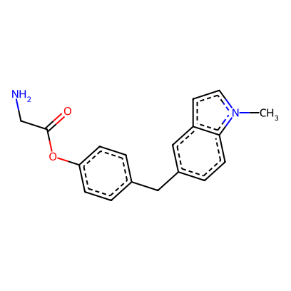 Cn1ccc2cc(Cc3ccc(OC(=O)CN)cc3)ccc21